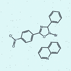 O=[N+]([O-])c1ccc(C2=NC(c3ccccc3)N(Br)O2)cc1.c1ccc2ncccc2c1